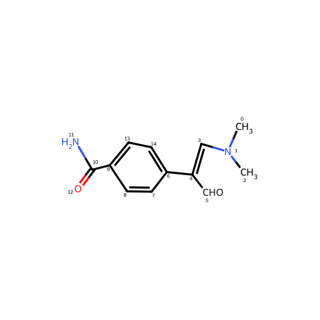 CN(C)C=C(C=O)c1ccc(C(N)=O)cc1